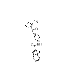 N#C[C@@H]1CCCN1C(=O)CN1CC[C@H](NC(=O)c2cc3ccccc3o2)C1